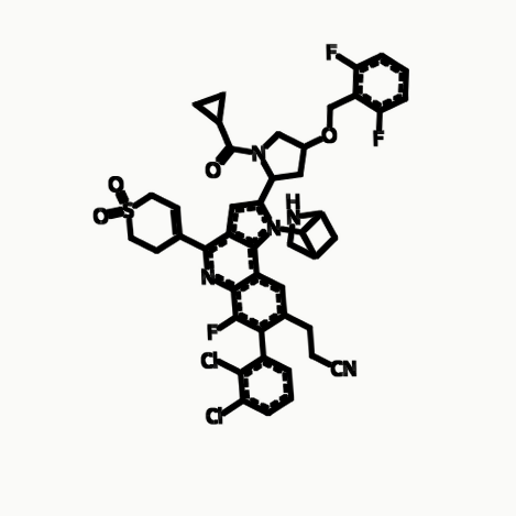 N#CCCc1cc2c(nc(C3=CCS(=O)(=O)CC3)c3cc(C4CC(OCc5c(F)cccc5F)CN4C(=O)C4CC4)n(C4C5CNC4C5)c32)c(F)c1-c1cccc(Cl)c1Cl